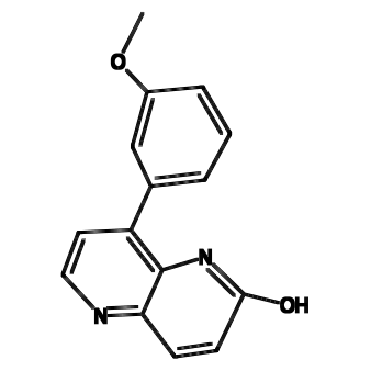 COc1cccc(-c2ccnc3ccc(O)nc23)c1